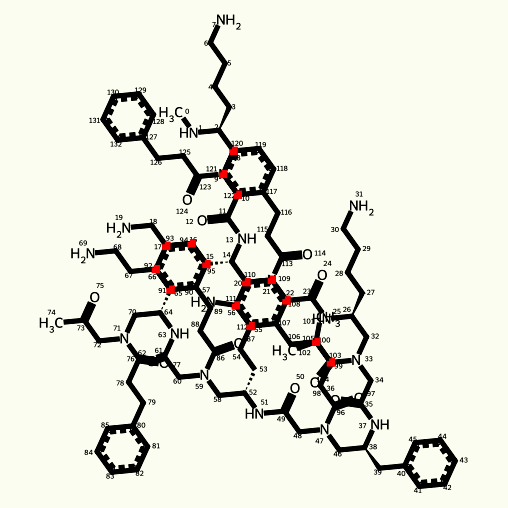 CN[C@@H](CCCCN)CN(CC(=O)N[C@@H](CCCCN)CN(CC(=O)N[C@@H](CCCCN)CN(CC(=O)N[C@@H](Cc1ccccc1)CN(CC(=O)N[C@@H](CCCCN)CN(CC(=O)N[C@@H](CCCCN)CN(CC(C)=O)C(=O)CCc1ccccc1)C(=O)CCc1ccccc1)C(=O)CCC(C)C)C(=O)CCc1ccccc1)C(=O)CCc1ccccc1)C(=O)CCc1ccccc1